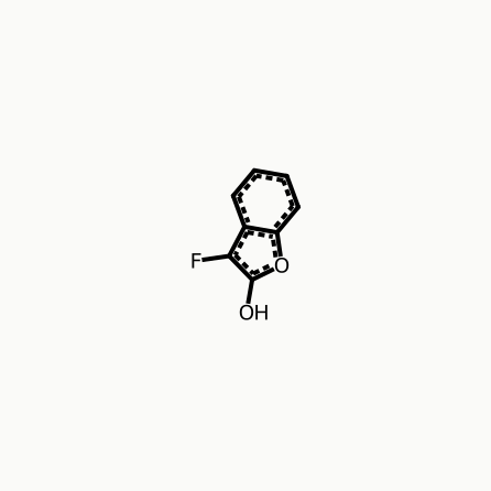 Oc1oc2ccccc2c1F